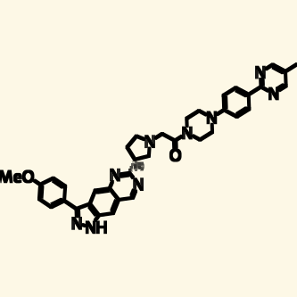 COc1ccc(-c2n[nH]c3cc4cnc([C@@H]5CCN(CC(=O)N6CCN(c7ccc(-c8ncc(C)cn8)cc7)CC6)C5)nc4cc23)cc1